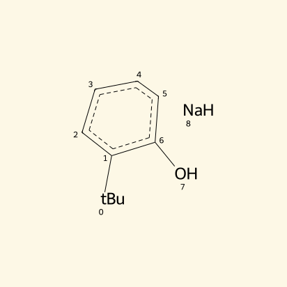 CC(C)(C)c1ccccc1O.[NaH]